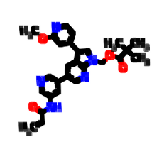 C=CC(=O)Nc1cncc(-c2cnc3c(c2)c(-c2ccnc(OC)c2)cn3COC(=O)C(C)(C)C)c1